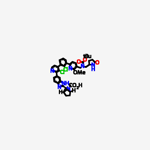 COc1nc(-c2cccc(-c3ccnc(-c4ccc5nc([C@@H]6[C@H]7CC[C@H](C7)N6C(=O)O)[nH]c5c4)c3Cl)c2Cl)ccc1CN(CC1CCC(=O)N1)C(=O)OC(C)(C)C